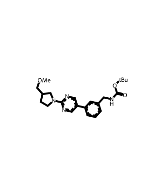 COCC1CCN(c2ncc(-c3cccc(CNC(=O)OC(C)(C)C)c3)cn2)C1